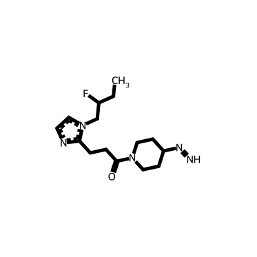 CCC(F)Cn1ccnc1CCC(=O)N1CCC(N=N)CC1